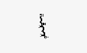 O=C(O)CCCC(=O)NCCCS